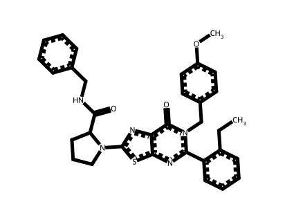 CCc1ccccc1-c1nc2sc(N3CCCC3C(=O)NCc3ccccc3)nc2c(=O)n1Cc1ccc(OC)cc1